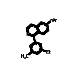 CCCc1ccc2c(-c3cc(C)cc(CC)c3)nccc2c1